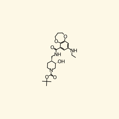 CCNc1cc2c(c(C(=O)NC[C@@H]3CCN(C(=O)OC(C)(C)C)C[C@H]3O)c1)OCCCO2